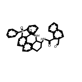 O=Cc1ccc2ccccc2c1C(=O)NC1CCCCC1NC(=O)c1c(P(=O)(c2ccccc2)c2ccccc2)ccc2ccccc12